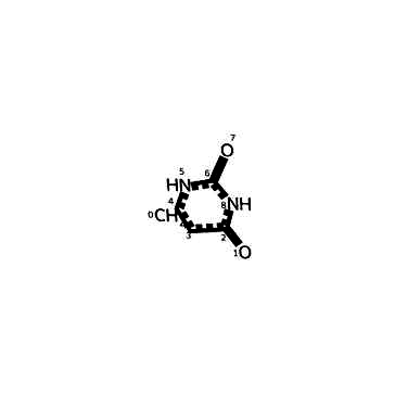 C.O=c1cc[nH]c(=O)[nH]1